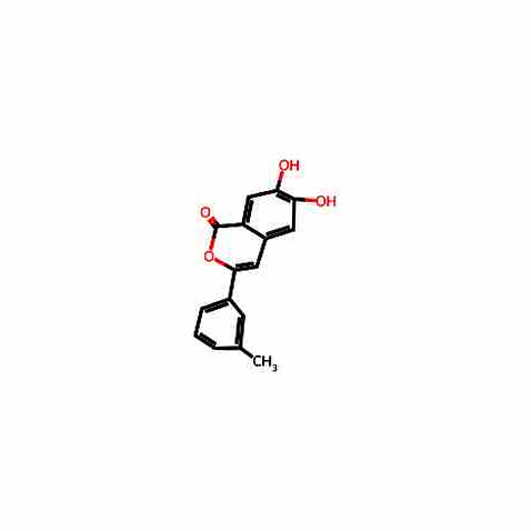 Cc1cccc(-c2cc3cc(O)c(O)cc3c(=O)o2)c1